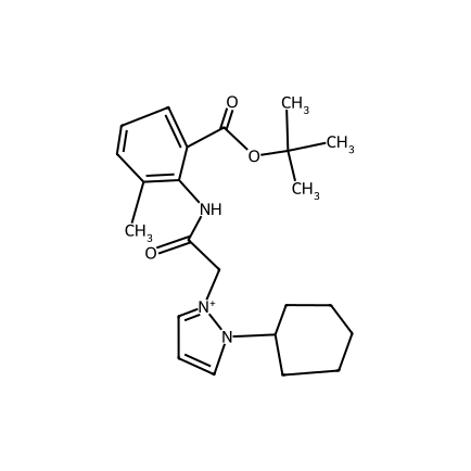 Cc1cccc(C(=O)OC(C)(C)C)c1NC(=O)C[n+]1cccn1C1CCCCC1